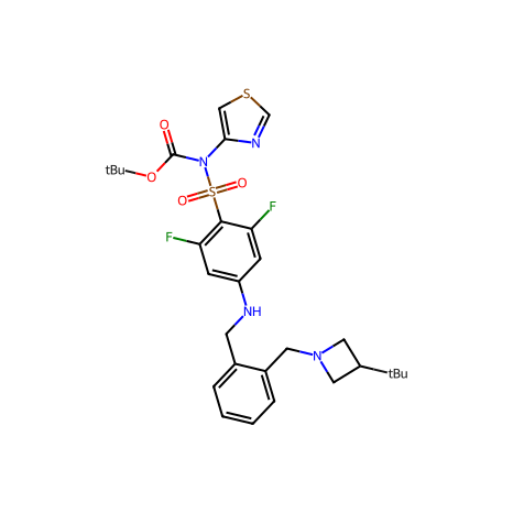 CC(C)(C)OC(=O)N(c1cscn1)S(=O)(=O)c1c(F)cc(NCc2ccccc2CN2CC(C(C)(C)C)C2)cc1F